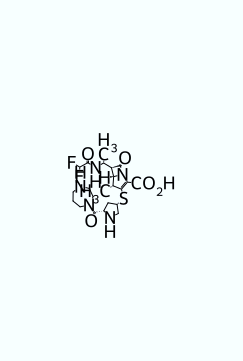 C[C@@H](NC(=O)C(F)F)[C@H]1C(=O)N2C(C(=O)O)=C(S[C@@H]3CN[C@H](C(=O)N4CCCNCC4)C3)[C@H](C)[C@H]12